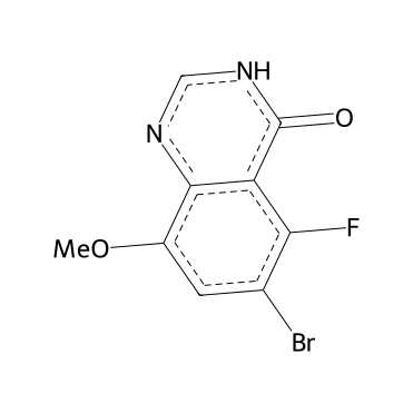 COc1cc(Br)c(F)c2c(=O)[nH]cnc12